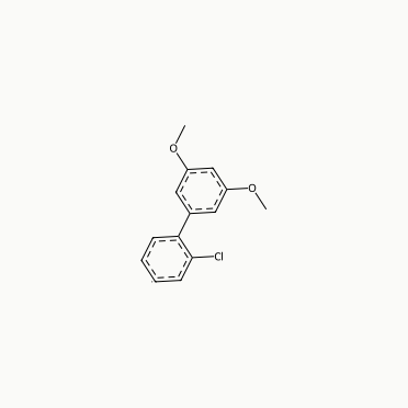 COc1cc(OC)cc(-c2cc[c]cc2Cl)c1